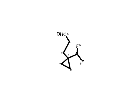 O=CCCC1(C(F)F)CC1